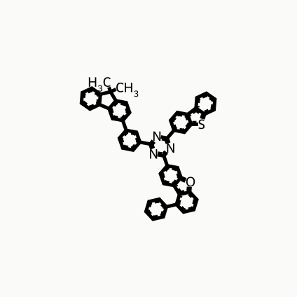 CC1(C)c2ccccc2-c2cc(-c3cccc(-c4nc(-c5ccc6c(c5)oc5cccc(-c7ccccc7)c56)nc(-c5ccc6c(c5)sc5ccccc56)n4)c3)ccc21